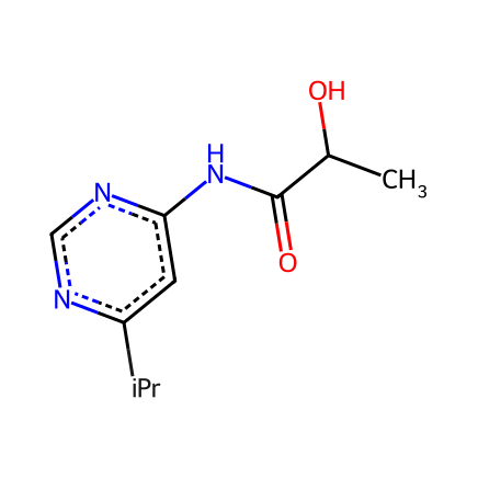 CC(O)C(=O)Nc1cc(C(C)C)ncn1